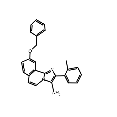 Cc1ccccc1-c1nc2c3cc(OCc4ccccc4)ccc3ccn2c1N